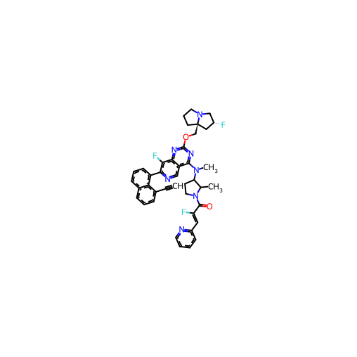 C#Cc1cccc2cccc(-c3ncc4c(N(C)C5CCN(C(=O)/C(F)=C/c6ccccn6)C5C)nc(OC[C@@]56CCCN5C[C@H](F)C6)nc4c3F)c12